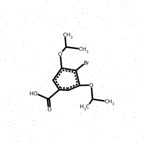 CC(C)Oc1cc(C(=O)O)cc(OC(C)C)c1Br